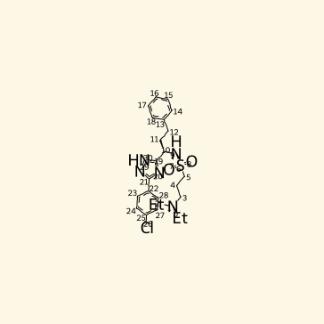 CCN(CC)CCCS(=O)(=O)N[C@H](CCc1ccccc1)c1nc(-c2ccc(Cl)cc2)n[nH]1